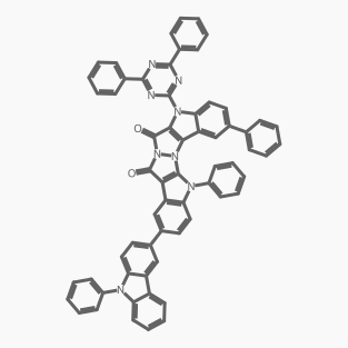 O=c1c2c3cc(-c4ccc5c(c4)c4ccccc4n5-c4ccccc4)ccc3n(-c3ccccc3)c2n2c3c4cc(-c5ccccc5)ccc4n(-c4nc(-c5ccccc5)nc(-c5ccccc5)n4)c3c(=O)n12